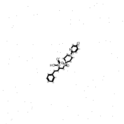 O=CN(O)C(CCc1ccccc1)CS(=O)(=O)N1CCN(c2ccc(Cl)cn2)CC1